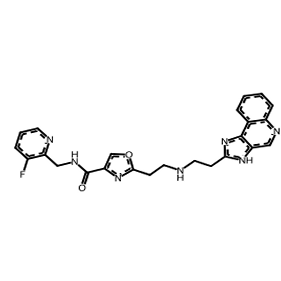 O=C(NCc1ncccc1F)c1coc(CCNCCc2nc3c(cnc4ccccc43)[nH]2)n1